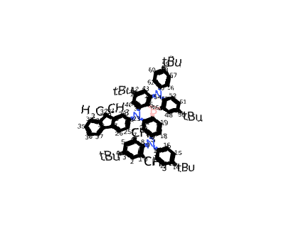 Cc1cc(C(C)(C)C)cc(C)c1N(c1ccc(C(C)(C)C)cc1)c1ccc2c(c1)N(c1ccc3c(c1)C(C)(C)c1ccccc1-3)c1cc(C(C)(C)C)cc3c1B2c1cc(C(C)(C)C)ccc1N3c1ccc(C(C)(C)C)cc1